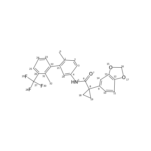 Cc1ccc(NC(=O)C2(c3ccc4c(c3)OCO4)CC2)cc1-c1cccc(C(F)(F)F)c1C